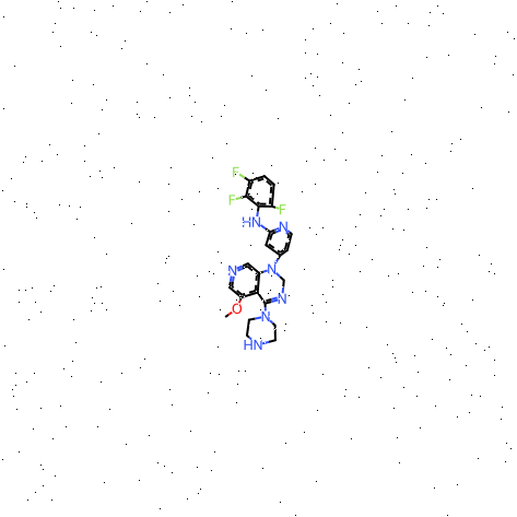 COc1cncc2c1C(N1CCNCC1)=NCN2c1ccnc(Nc2c(F)ccc(F)c2F)c1